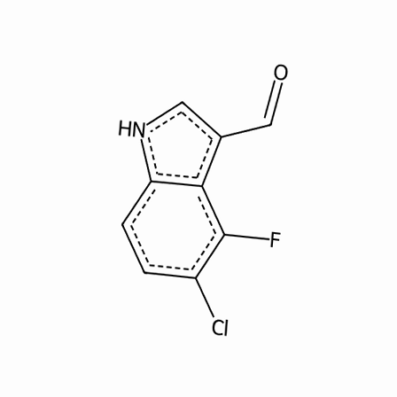 O=Cc1c[nH]c2ccc(Cl)c(F)c12